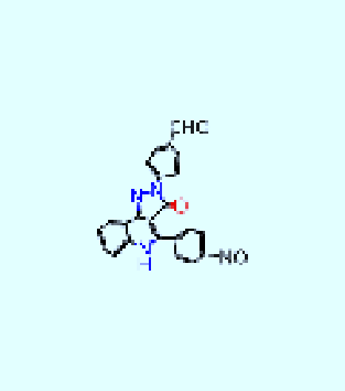 O=Cc1ccc(-n2nc3c4ccccc4[nH]c(-c4ccc(N=O)cc4)c-3c2=O)cc1